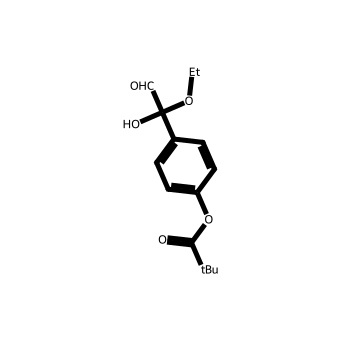 CCOC(O)(C=O)c1ccc(OC(=O)C(C)(C)C)cc1